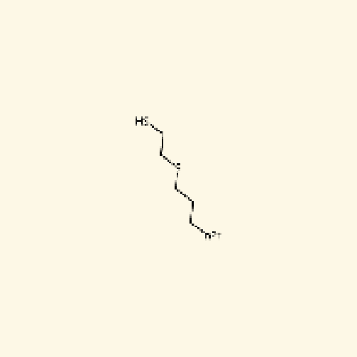 CCCCCCSCCS